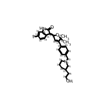 CC1(C)OC(=C2C(=O)Nc3cc(F)ccc32)C=C1c1ccc(CN2CCCC(CCO)C2)cc1